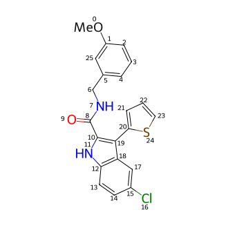 COc1cccc(CNC(=O)c2[nH]c3ccc(Cl)cc3c2-c2cccs2)c1